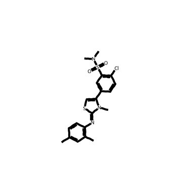 Cc1ccc(N=c2scc(-c3ccc(Cl)c(S(=O)(=O)N(C)C)c3)n2C)c(C)c1